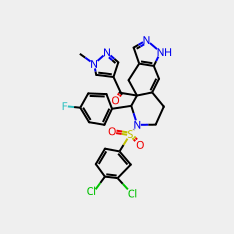 Cn1cc(C(=O)C23Cc4cn[nH]c4C=C2CCN(S(=O)(=O)c2ccc(Cl)c(Cl)c2)C3c2ccc(F)cc2)cn1